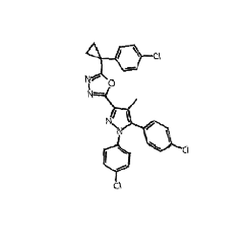 Cc1c(-c2nnc(C3(c4ccc(Cl)cc4)CC3)o2)nn(-c2ccc(Cl)cc2)c1-c1ccc(Cl)cc1